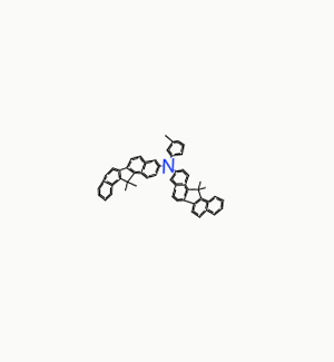 Cc1cccc(N(c2ccc3c4c(ccc3c2)-c2ccc3ccccc3c2C4(C)C)c2ccc3c4c(ccc3c2)-c2ccc3ccccc3c2C4(C)C)c1